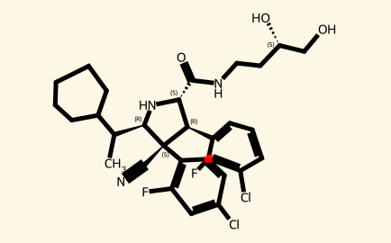 CC(C1CCCCC1)[C@H]1N[C@H](C(=O)NCC[C@H](O)CO)[C@@H](c2cccc(Cl)c2F)[C@]1(C#N)c1ccc(Cl)cc1F